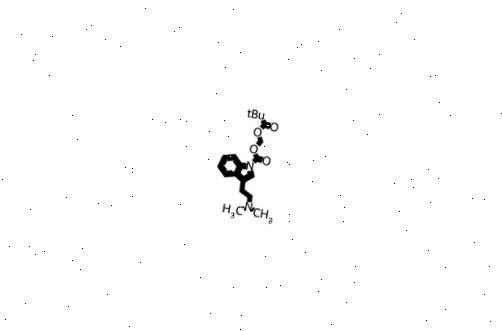 CN(C)CCc1cn(C(=O)OCOC(=O)C(C)(C)C)c2ccccc12